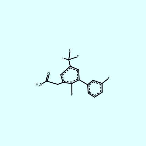 NC(=O)Cc1cc(C(F)(F)F)cc(-c2cccc(F)c2)c1F